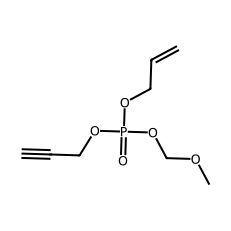 C#CCOP(=O)(OCC=C)OCOC